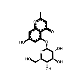 Cc1cc(=O)c2c(O[C@@H]3O[C@H](CO)[C@@H](O)[C@H](O)[C@H]3O)cc(O)cc2o1